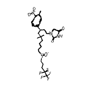 Cc1cc(C(CCN2CC(=O)NC2=O)CC(C)(C)CCCC[S+]([O-])CCCC(F)(F)C(F)(F)F)ccc1[N+](=O)[O-]